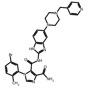 Cc1ccc(Br)cc1-n1cnc(C(N)=O)c1C(=O)Nc1nc2cc(N3CCN(Cc4ccncc4)CC3)ccc2[nH]1